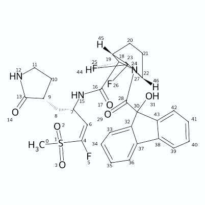 CS(=O)(=O)/C(F)=C\[C@H](C[C@H]1CCNC1=O)NC(=O)[C@H]1[C@@H]2CC[C@@H](CC2(F)F)N1C(=O)C1(O)c2ccccc2-c2ccccc21